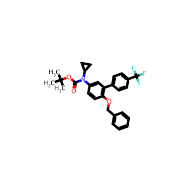 CC(C)(C)OC(=O)N(c1ccc(OCc2ccccc2)c(-c2ccc(C(F)(F)F)cc2)c1)C1CC1